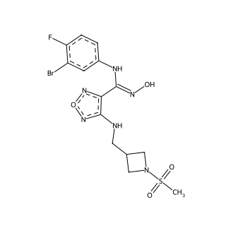 CS(=O)(=O)N1CC(CNc2nonc2/C(=N/O)Nc2ccc(F)c(Br)c2)C1